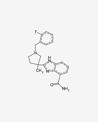 CC1(c2nc3c(C(N)=O)cccc3[nH]2)CCN(Cc2ccccc2F)C1